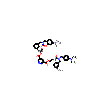 COc1cccc(CN(Cc2ccc(N(C)C)cc2)C(=O)OCCOC(=O)c2cncc(C(=O)OCCOC(=O)N(Cc3ccc(N(C)C)cc3)Cc3cccc(OC)c3)c2)c1